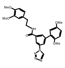 COc1ccc(OC)c(-c2cc(C(=O)NCCc3ccc(OC)c(OC)c3)cc(-n3cnnn3)c2)c1